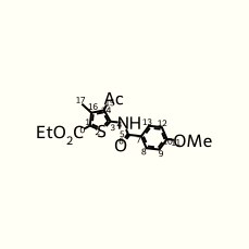 CCOC(=O)c1sc(NC(=O)c2ccc(OC)cc2)c(C(C)=O)c1C